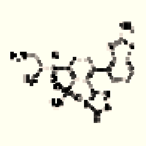 CC(CN)S(=O)(=O)c1ccc(-c2cccc3sc(N)nc23)c(-c2nn[nH]n2)c1S(N)(=O)=O